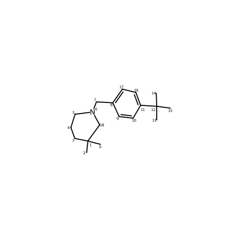 CC1(C)CCCN(Cc2ccc(C(C)(C)C)cc2)C1